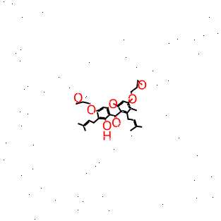 CC(C)=CCc1c(OCC2CO2)cc2oc3cc(OCC4CO4)c(C)c(CC=C(C)C)c3c(=O)c2c1O